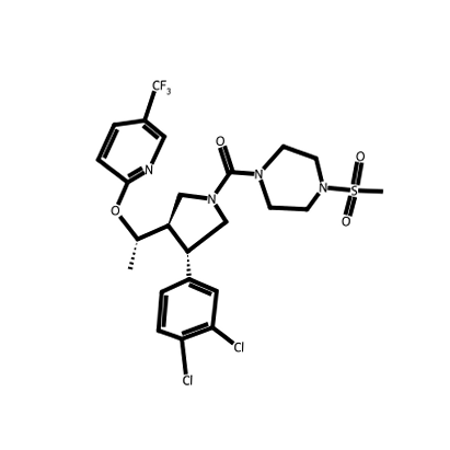 C[C@H](Oc1ccc(C(F)(F)F)cn1)[C@H]1CN(C(=O)N2CCN(S(C)(=O)=O)CC2)C[C@@H]1c1ccc(Cl)c(Cl)c1